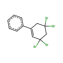 BrC1(Br)C=C(c2ccccc2)CC(Br)(Br)C1